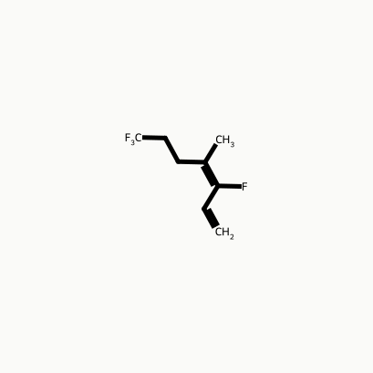 C=C/C(F)=C(/C)CCC(F)(F)F